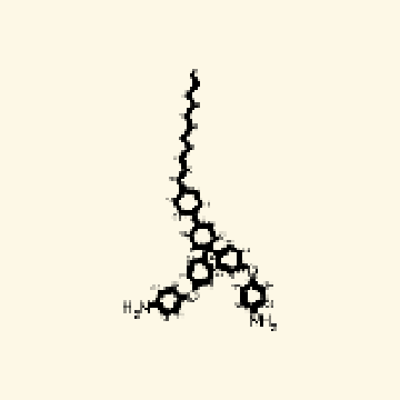 CCCCCCCCCCCC1CCC(C2CCC(c3ccc(Oc4ccc(N)cc4)cc3)(c3ccc(Oc4ccc(N)cc4)cc3)CC2)CC1